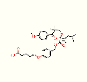 COc1ccc([C@@H]2OC(C(=O)OCc3ccc(OCCCCC(=O)O)cc3)([C@@H](C)CC(C)C)OCC2(C)C)cc1